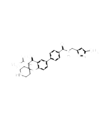 Cc1cc(CNC(=O)c2ccc(-c3ccc4c(c3)C(=O)[C@H](C(C)C)C3(CCNCC3)O4)cc2)on1